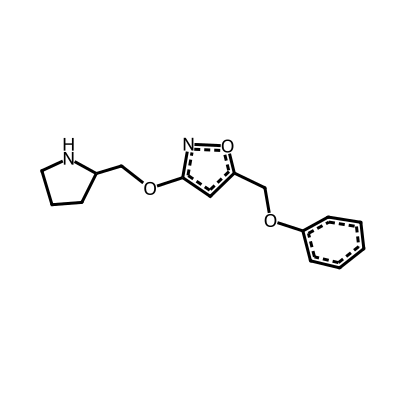 c1ccc(OCc2cc(OCC3CCCN3)no2)cc1